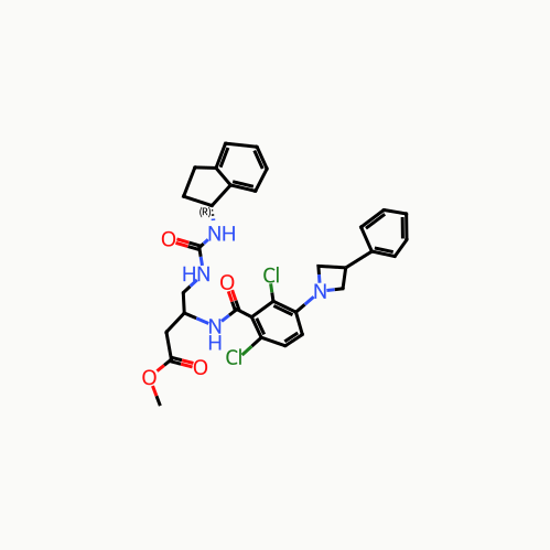 COC(=O)CC(CNC(=O)N[C@@H]1CCc2ccccc21)NC(=O)c1c(Cl)ccc(N2CC(c3ccccc3)C2)c1Cl